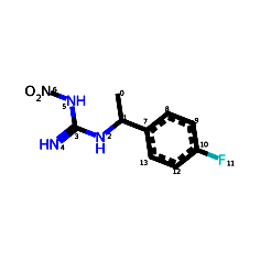 CC(NC(=N)N[N+](=O)[O-])c1ccc(F)cc1